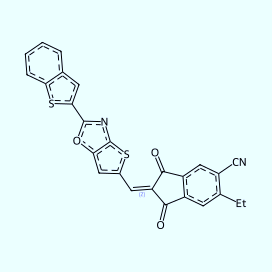 CCc1cc2c(cc1C#N)C(=O)/C(=C\c1cc3oc(-c4cc5ccccc5s4)nc3s1)C2=O